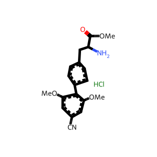 COC(=O)C(N)Cc1ccc(-c2c(OC)cc(C#N)cc2OC)cc1.Cl